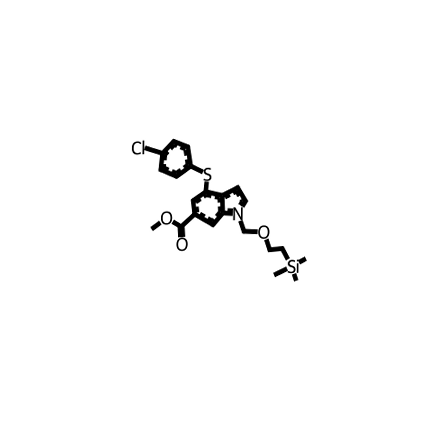 COC(=O)c1cc(Sc2ccc(Cl)cc2)c2ccn(COCC[Si](C)(C)C)c2c1